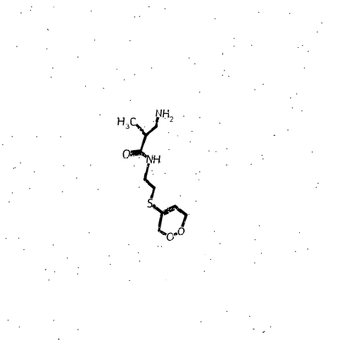 CC(CN)C(=O)NCCSC1=CCOOC1